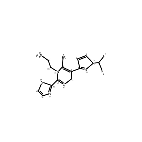 CCC1=C(c2ccn(C(F)F)n2)CN=C(c2nccs2)N1CCN